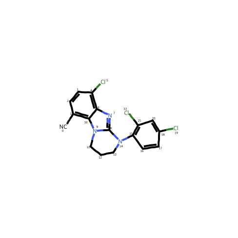 N#Cc1ccc(Cl)c2nc3n(c12)CCCN3c1ccc(Cl)cc1Cl